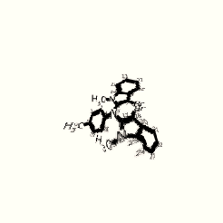 Cc1ccc(N(c2c(Br)c3ccccc3n2C)c2c(Br)c3ccccc3n2C)cc1